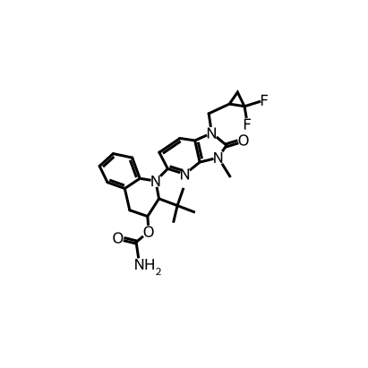 Cn1c(=O)n(CC2CC2(F)F)c2ccc(N3c4ccccc4CC(OC(N)=O)C3C(C)(C)C)nc21